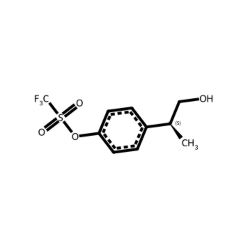 C[C@H](CO)c1ccc(OS(=O)(=O)C(F)(F)F)cc1